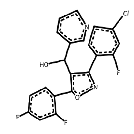 OC(c1cccnc1)c1c(-c2ccc(Cl)cc2F)noc1-c1ccc(F)cc1F